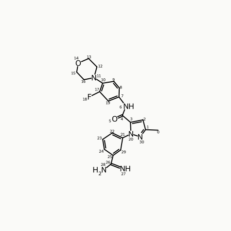 Cc1cc(C(=O)Nc2ccc(N3CCOCC3)c(F)c2)n(-c2cccc(C(=N)N)c2)n1